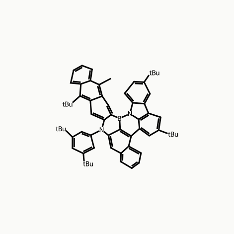 Cc1c2ccccc2c(C(C)(C)C)c2cc3c(cc12)B1c2c(cc4ccccc4c2-c2cc(C(C)(C)C)cc4c5cc(C(C)(C)C)ccc5n1c24)N3c1cc(C(C)(C)C)cc(C(C)(C)C)c1